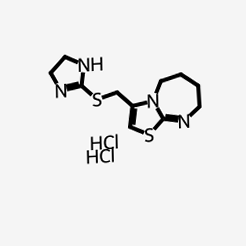 C1=C(CSC2=NCCN2)N2CCCCN=C2S1.Cl.Cl